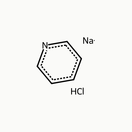 Cl.[Na].c1ccncc1